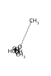 CCCCCCCCCCCCCCCCCCOC[C@@H](COC)OP(=O)(O)O